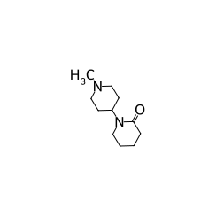 CN1CCC(N2CCCCC2=O)CC1